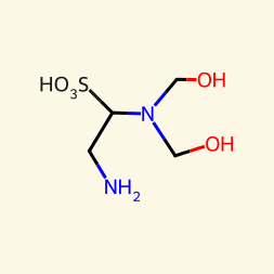 NCC(N(CO)CO)S(=O)(=O)O